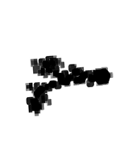 CC(C)(CNC(=O)C(F)(F)F)SSCO[C@@H]1C[C@H](n2ccc(NC(=O)c3ccccc3)nc2=O)O[C@@H]1CO[Si](C)(C)C(C)(C)C